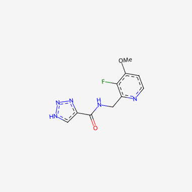 COc1ccnc(CNC(=O)c2c[nH]nn2)c1F